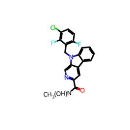 CN(O)C(=O)c1cc2c3ccccc3n(Cc3c(F)ccc(Cl)c3F)c2cn1